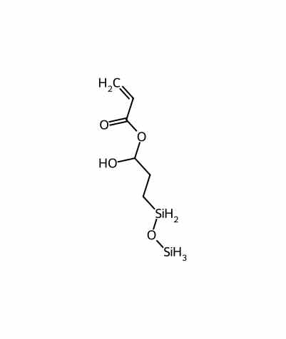 C=CC(=O)OC(O)CC[SiH2]O[SiH3]